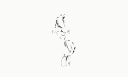 Cc1cc(-c2[nH]c3ccc(C4CCN(Cc5ncon5)CC4)cc3c2C(C)C)c(C)cn1